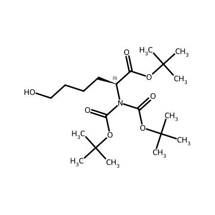 CC(C)(C)OC(=O)[C@H](CCCCO)N(C(=O)OC(C)(C)C)C(=O)OC(C)(C)C